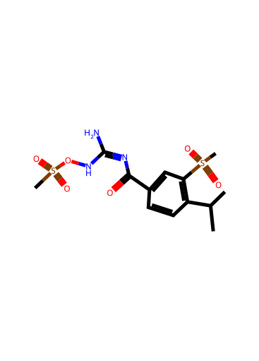 CC(C)c1ccc(C(=O)N=C(N)NOS(C)(=O)=O)cc1S(C)(=O)=O